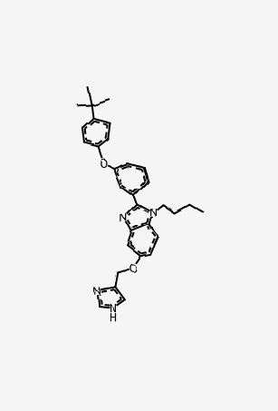 CCCCn1c(-c2cccc(Oc3ccc(C(C)(C)C)cc3)c2)nc2cc(OCc3c[nH]cn3)ccc21